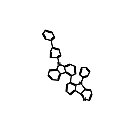 c1ccc(-c2ccc(-n3c4ccccc4c4c(-c5cccc6c7ncccc7n(-c7ccccc7)c56)cccc43)cc2)cc1